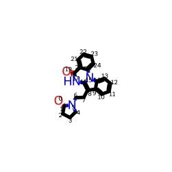 O=C1CCCN1CCc1c2ccccc2n2c1[nH]c(=O)c1ccccc12